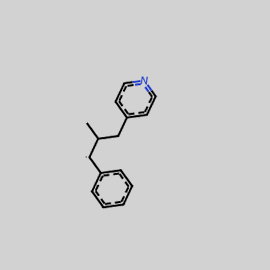 CC([CH]c1ccccc1)Cc1ccncc1